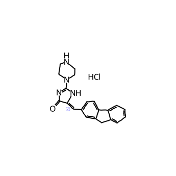 Cl.O=C1N=C(N2CCNCC2)N/C1=C\c1ccc2c(c1)Cc1ccccc1-2